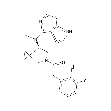 CN(c1ncnc2[nH]ccc12)[C@H]1CN(C(=O)Nc2cccc(Cl)c2Cl)CC12CC2